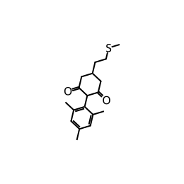 CSCCC1CC(=O)C(c2c(C)cc(C)cc2C)C(=O)C1